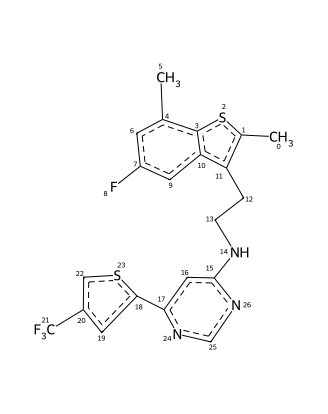 Cc1sc2c(C)cc(F)cc2c1CCNc1cc(-c2cc(C(F)(F)F)cs2)ncn1